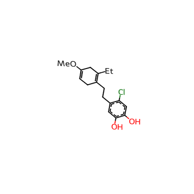 CCC1=C(CCc2cc(O)c(O)cc2Cl)CC=C(OC)C1